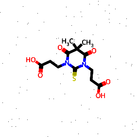 CC1(C)C(=O)N(CCC(=O)O)C(=S)N(CCC(=O)O)C1=O